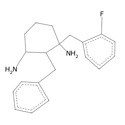 NC1CCCC(N)(Cc2ccccc2F)C1Cc1ccccc1